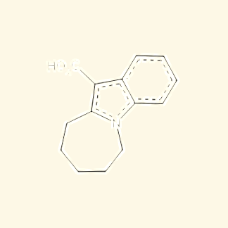 O=C(O)c1c2n(c3ccccc13)CCCCC2